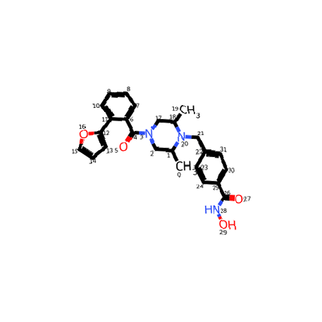 CC1CN(C(=O)c2ccccc2-c2ccco2)CC(C)N1Cc1ccc(C(=O)NO)cc1